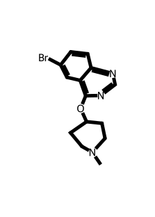 CN1CCC(Oc2ncnc3ccc(Br)cc23)CC1